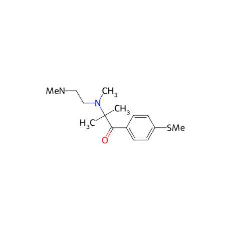 CNCCN(C)C(C)(C)C(=O)c1ccc(SC)cc1